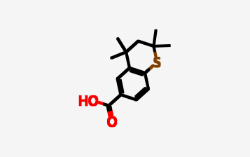 CC1(C)CC(C)(C)c2cc(C(=O)O)ccc2S1